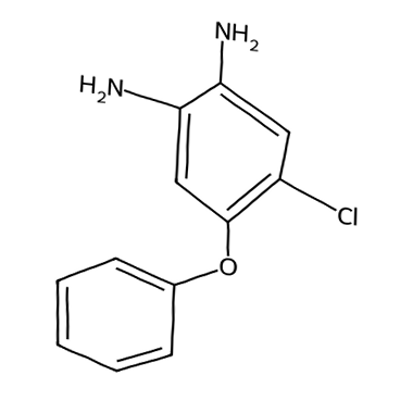 Nc1cc(Cl)c(Oc2ccccc2)cc1N